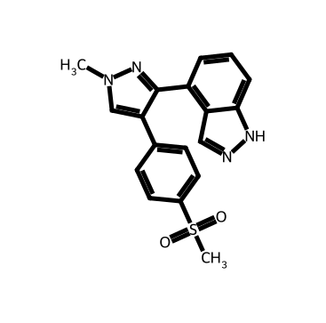 Cn1cc(-c2ccc(S(C)(=O)=O)cc2)c(-c2cccc3[nH]ncc23)n1